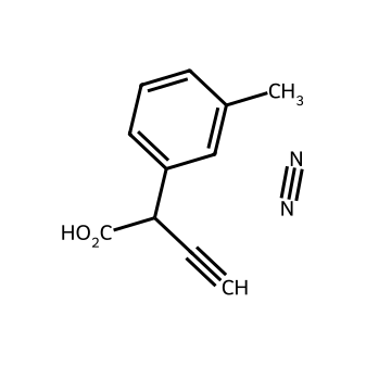 C#CC(C(=O)O)c1cccc(C)c1.N#N